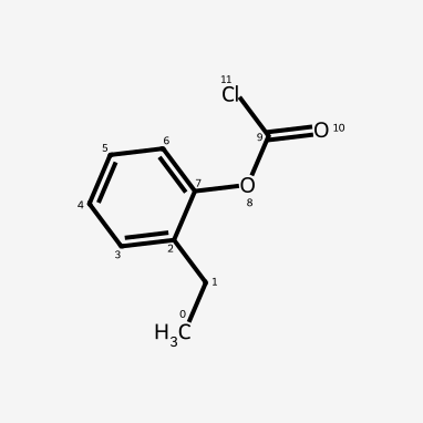 CCc1ccccc1OC(=O)Cl